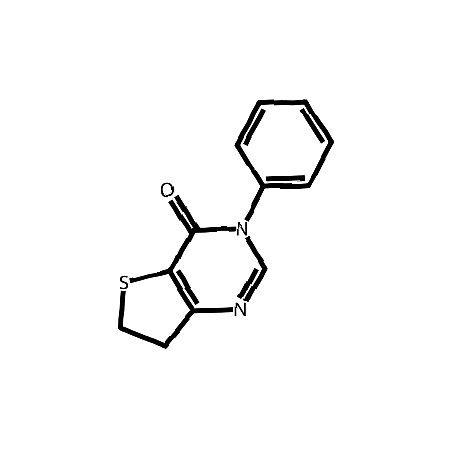 O=c1c2c(ncn1-c1ccccc1)CCS2